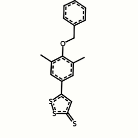 Cc1cc(-c2cc(=S)ss2)cc(C)c1OCc1ccccc1